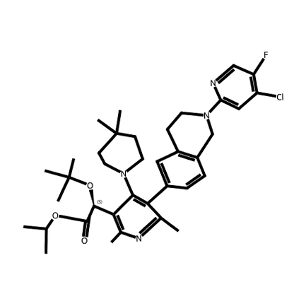 Cc1nc(C)c([C@H](OC(C)(C)C)C(=O)OC(C)C)c(N2CCC(C)(C)CC2)c1-c1ccc2c(c1)CCN(c1cc(Cl)c(F)cn1)C2